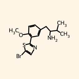 COc1ccc(CC(N)C(C)C)cc1-c1ncc(Br)s1